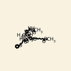 CCOC(=O)CCCCCOC[C@@]1(F)C[C@@H](C(=O)N[C@H](C)c2cc(C(=N)NOC(C)=O)cs2)N(C(=O)CNC(=O)CCCOc2ccccc2)C1